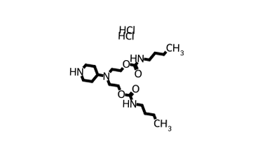 CCCCNC(=O)OCCN(CCOC(=O)NCCCC)C1CCNCC1.Cl.Cl